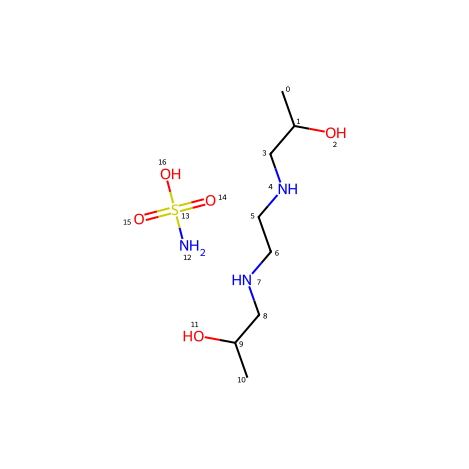 CC(O)CNCCNCC(C)O.NS(=O)(=O)O